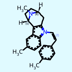 Cc1ccc(/C=C\n2c3c(c4cc(C)ccc42)[C@@H]2CC[C@H](C3)N2C)cc1